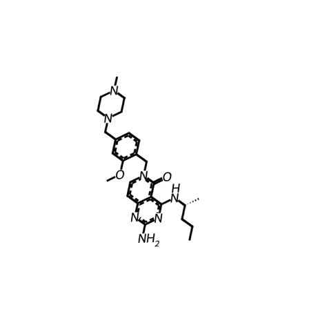 CCC[C@@H](C)Nc1nc(N)nc2ccn(Cc3ccc(CN4CCN(C)CC4)cc3OC)c(=O)c12